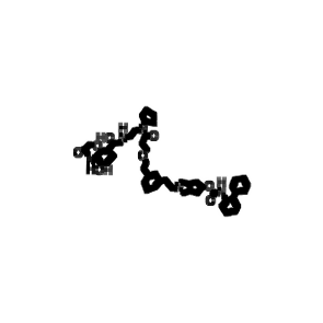 O=C1COc2c([C@@H](O)CNCCN(C(=O)CCOCCc3cccc(CCN4CC5CC(OC(=O)Nc6ccccc6-c6ccccc6)CC5C4)c3)C3CCCC3)ccc(O)c2N1